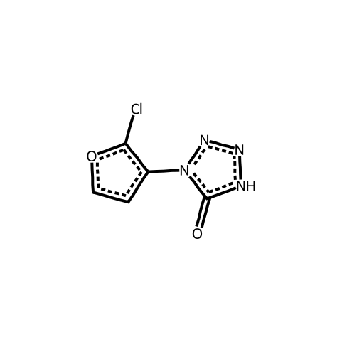 O=c1[nH]nnn1-c1ccoc1Cl